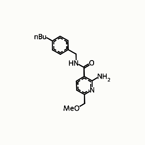 CCCCc1ccc(CNC(=O)c2ccc(COC)nc2N)cc1